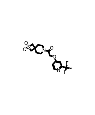 O=C(COc1ccnc(C(F)(F)F)c1)N1CCC2(CC1)CS(=O)(=O)C2